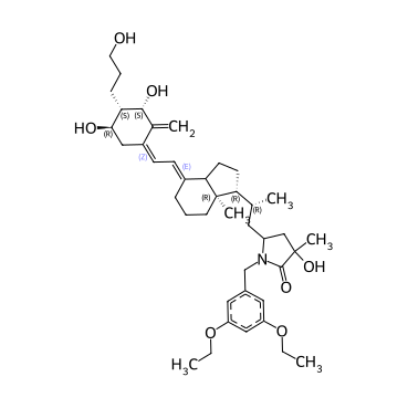 C=C1/C(=C\C=C2/CCC[C@@]3(C)C2CC[C@@H]3[C@H](C)CC2CC(C)(O)C(=O)N2Cc2cc(OCC)cc(OCC)c2)C[C@@H](O)[C@H](CCCO)[C@@H]1O